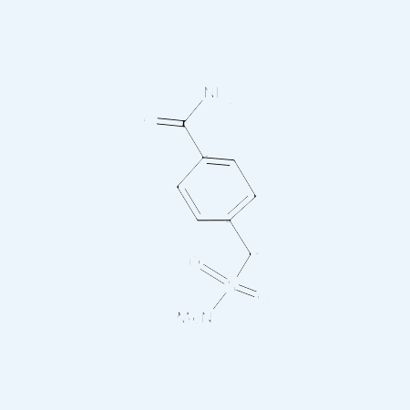 CNS(=O)(=O)Cc1ccc(C(N)=O)cc1